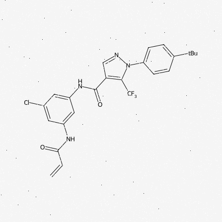 C=CC(=O)Nc1cc(Cl)cc(NC(=O)c2cnn(-c3ccc(C(C)(C)C)cc3)c2C(F)(F)F)c1